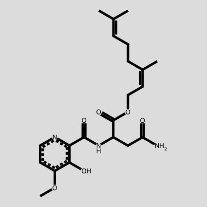 COc1ccnc(C(=O)NC(CC(N)=O)C(=O)OC/C=C(/C)CCC=C(C)C)c1O